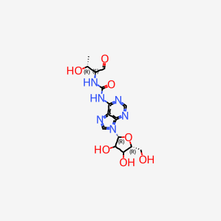 C[C@@H](O)[C@@H](C=O)NC(=O)Nc1ncnc2c1ncn2[C@@H]1O[C@H](CO)C(O)C1O